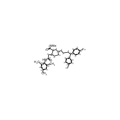 CNC(=O)C1CN(CCCC(c2ccc(F)cc2)c2ccc(F)cc2)CCN1CC(=O)Nc1c(C)cc(C)cc1C